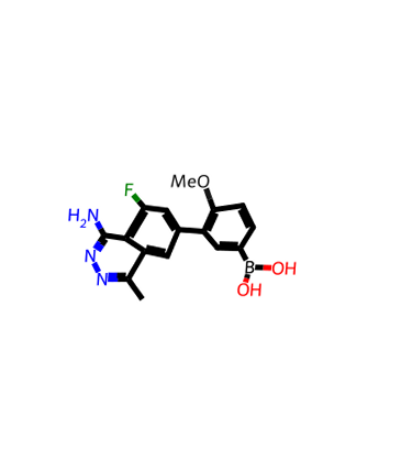 COc1ccc(B(O)O)cc1-c1cc(F)c2c(N)nnc(C)c2c1